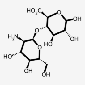 N[C@H]1[C@@H](O[C@H]2[C@H](O)[C@@H](O)C(O)O[C@@H]2C(=O)O)O[C@H](CO)[C@@H](O)[C@@H]1O